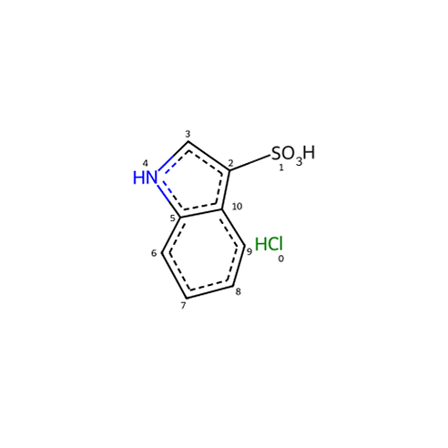 Cl.O=S(=O)(O)c1c[nH]c2ccccc12